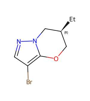 CC[C@H]1COc2c(Br)cnn2C1